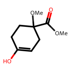 COC(=O)C1(OC)CC=C(O)CC1